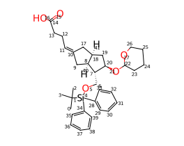 CC(C)(C)[Si](OC[C@@H]1[C@H]2C/C(=C/CCC(=O)O)C[C@H]2C[C@H]1OC1CCCCO1)(c1ccccc1)c1ccccc1